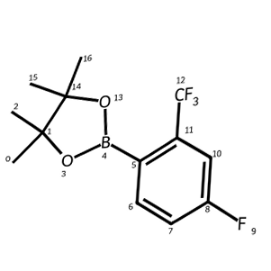 CC1(C)OB(c2ccc(F)cc2C(F)(F)F)OC1(C)C